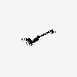 CCC(=O)N(C)CCOCCOCCOCCOCCC(=O)N1CCc2cc(Cn3nc(-c4ccc5oc(N)nc5c4)c4c(N)ncnc43)ccc2C1